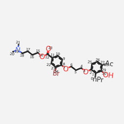 CCCc1c(OCCCOc2ccc(C(=O)OCCCCN(C)C)cc2Br)ccc(C(C)=O)c1O